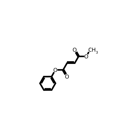 COC(=O)/C=C/C(=O)Oc1ccccc1